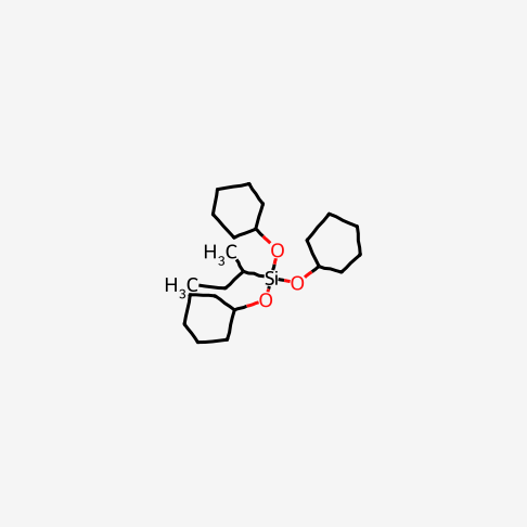 CCC(C)[Si](OC1CCCCC1)(OC1CCCCC1)OC1CCCCC1